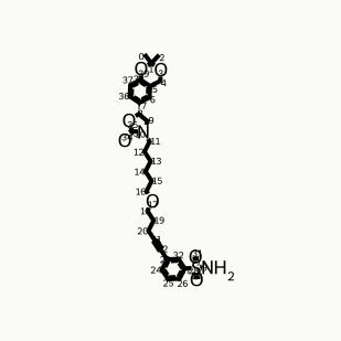 CC1(C)OCc2cc([C@@H]3CN(CCCCCCOCCCC#Cc4cccc(S(N)(=O)=O)c4)C(=O)O3)ccc2O1